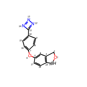 B1OCc2cc(Oc3ccc(C4=NN=N4)cc3)ccc21